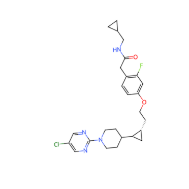 O=C(Cc1ccc(OCC[C@@H]2CC2C2CCN(c3ncc(Cl)cn3)CC2)cc1F)NCC1CC1